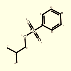 C[C](C)COS(=O)(=O)c1ccccc1